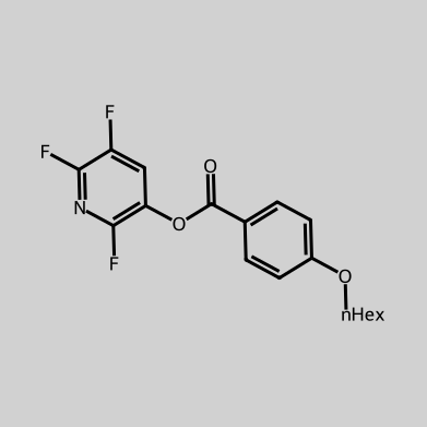 CCCCCCOc1ccc(C(=O)Oc2cc(F)c(F)nc2F)cc1